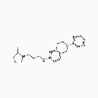 CC1CCCN1CCCOc1ccc2c(n1)CCN(c1cnccn1)C2